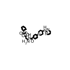 NC(CC(=O)OS(=O)(=O)c1ccccc1)NC(=O)c1ccc(N2CCC(Nc3ncccn3)CC2)cc1